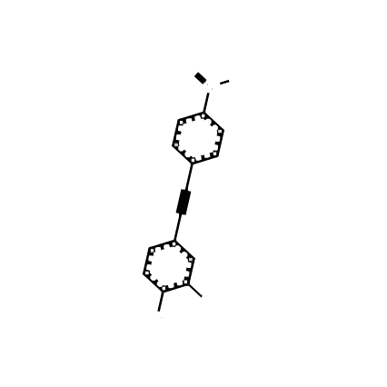 O=[N+]([O-])c1ccc(C#Cc2ccc(O)c(O)c2)cc1